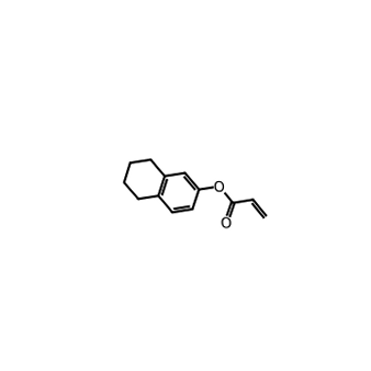 C=CC(=O)Oc1ccc2c(c1)CCCC2